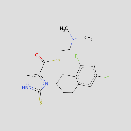 CN(C)CCSC(=O)c1c[nH]c(=S)n1C1CCc2cc(F)cc(F)c2C1